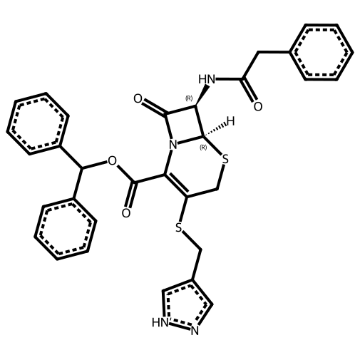 O=C(Cc1ccccc1)N[C@@H]1C(=O)N2C(C(=O)OC(c3ccccc3)c3ccccc3)=C(SCc3cn[nH]c3)CS[C@H]12